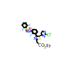 CCOC(=O)Cc1nc(-c2cccc(NS(=O)(=O)c3c(F)cccc3F)c2F)c(-c2ccnc(Cl)n2)s1